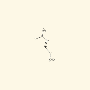 CCCC(C)/C=C/C[C]=O